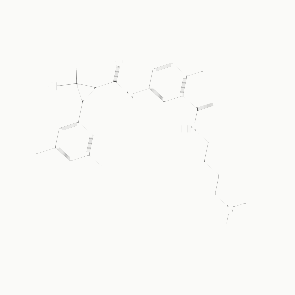 CN(C)CCCCNC(=O)c1cc(NC(=O)C2C(c3cc(Cl)cc(Cl)c3)C2(Cl)Cl)ccc1Cl